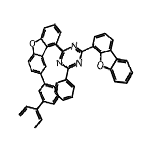 C=C/C(=C\C)c1cccc(-c2ccc3oc4cccc(-c5nc(-c6ccccc6)nc(-c6cccc7c6oc6ccccc67)n5)c4c3c2)c1